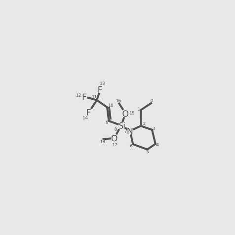 CCC1CCCCN1[Si](C=CC(F)(F)F)(OC)OC